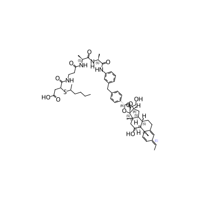 C/C=C1\C=C[C@@]2(C)C(=C1)CC[C@@H]1[C@@H]2[C@@H](O)C[C@@]2(C)[C@H]1C[C@H]1O[C@@H](c3ccc(Cc4cccc(NC(=O)[C@H](C)NC(=O)[C@H](C)NC(=O)CCNC(=O)C(CC(=O)O)SC(C)CCCC)c4)cc3)O[C@]12C(=O)CO